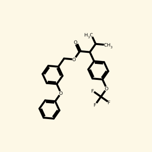 CC(C)C(C(=O)OCc1cccc(Oc2ccccc2)c1)c1ccc(OC(F)(F)F)cc1